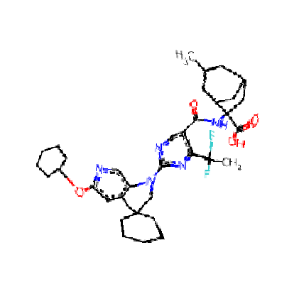 CC1CC2CC(C1)C(NC(=O)c1cnc(N3CC4(CCCCC4)c4cc(OC5CCCCC5)ncc43)nc1C(C)(F)F)(C(=O)O)C2